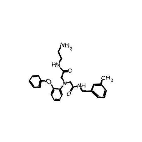 Cc1cccc(CNC(=O)CN(CC(=O)NCCN)c2ccccc2Oc2ccccc2)c1